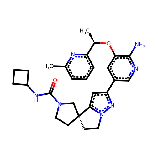 Cc1cccc([C@@H](C)Oc2cc(-c3cc4n(n3)CC[C@@]43CCN(C(=O)NC4CCC4)C3)cnc2N)n1